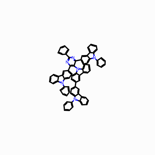 c1ccc(-c2nc(-c3ccc4c(c3)c3ccccc3n4-c3ccccc3)c(-n3c4ccccc4c4cc(-c5ccc6c(c5)c5ccccc5n6-c5ccccc5)ccc43)c(-c3ccc4c(c3)c3ccccc3n4-c3ccccc3)n2)cc1